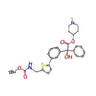 CN1CCC(OC(=O)[C@](O)(c2ccccc2)c2cccc(-c3ccc(CNC(=O)OC(C)(C)C)s3)c2)CC1